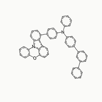 c1ccc(-c2cccc(-c3ccc(N(c4ccccc4)c4ccc(-c5cccc6c5c5cccc7c5n6-c5ccccc5O7)cc4)cc3)c2)cc1